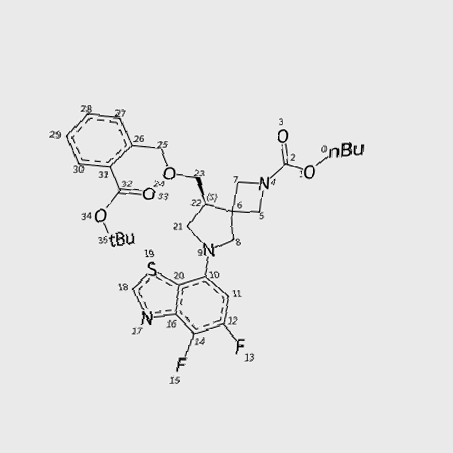 CCCCOC(=O)N1CC2(C1)CN(c1cc(F)c(F)c3ncsc13)C[C@H]2COCc1ccccc1C(=O)OC(C)(C)C